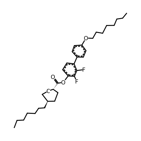 CCCCCCCCOc1ccc(-c2ccc(OC(=O)[C@H]3CC[C@H](CCCCCCC)CC3)c(F)c2F)cc1